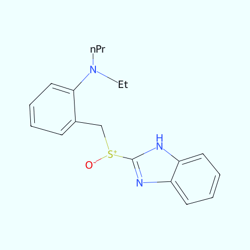 CCCN(CC)c1ccccc1C[S+]([O-])c1nc2ccccc2[nH]1